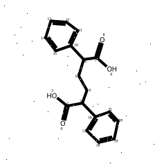 O=C(O)C(CCC(C(=O)O)c1ccccc1)c1ccccc1